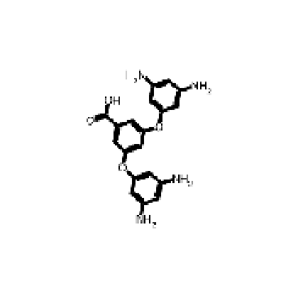 Nc1cc(N)cc(Oc2cc(Oc3cc(N)cc(N)c3)cc(C(=O)O)c2)c1